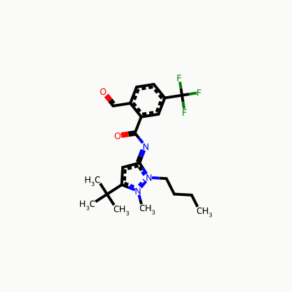 CCCCn1c(=NC(=O)c2cc(C(F)(F)F)ccc2C=O)cc(C(C)(C)C)n1C